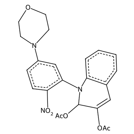 CC(=O)OC1=Cc2ccccc2N(c2cc(N3CCOCC3)ccc2[N+](=O)[O-])C1OC(C)=O